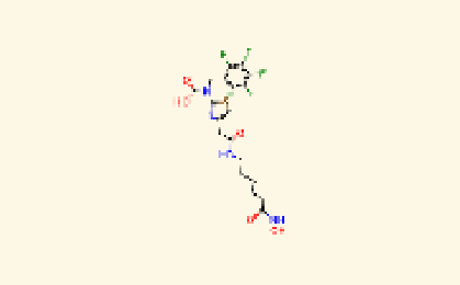 O=C(CCCCCNC(=O)Cc1csc(N(Cc2c(F)c(F)c(F)c(F)c2F)C(=O)O)n1)NO